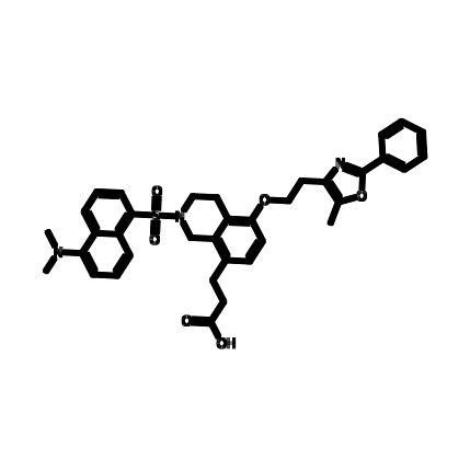 Cc1oc(-c2ccccc2)nc1CCOc1ccc(CCC(=O)O)c2c1CCN(S(=O)(=O)c1cccc3c(N(C)C)cccc13)C2